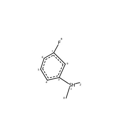 C[SH](C)c1cccc(F)c1